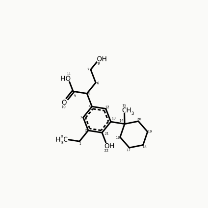 CCc1cc(C(CCO)C(=O)O)cc(C2(C)CCCCC2)c1O